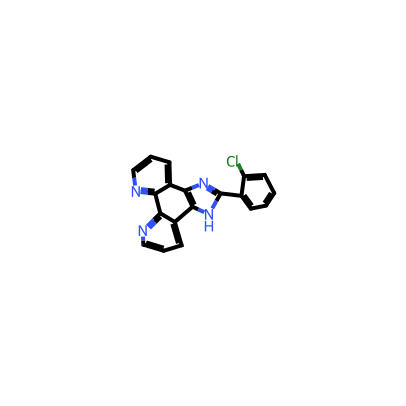 Clc1ccccc1-c1nc2c3cccnc3c3ncccc3c2[nH]1